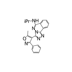 Cc1onc(-c2ccccc2)c1-c1nnc2c3ccccc3c(NC(C)C)nn12